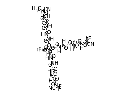 CC1(F)C[C@@H](C#N)N(C(=O)CNC(=O)c2ccnc3c(NC(=O)CCC(=O)NCCNC(=O)CCOCC(COCCC(=O)NCCNC(=O)CCC(=O)Nc4cccc5c(C(=O)NCC(=O)N6CC(F)(F)C[C@H]6C#N)ccnc45)(COCCC(=O)NCCNC(=O)CCC(=O)Nc4cccc5c(C(=O)NCC(=O)N6CC(F)(F)C[C@H]6C#N)ccnc45)NC(=O)OC(C)(C)C)cccc23)C1